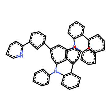 c1ccc(-c2ccccc2N(c2ccccc2)c2cc(-c3cccc(-c4ccccn4)c3)cc(N(c3ccccc3)c3ccccc3-c3ccccc3)c2)cc1